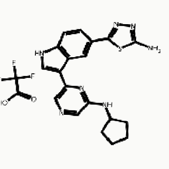 Nc1nnc(-c2ccc3[nH]cc(-c4cncc(NC5CCCC5)n4)c3c2)s1.O=C(O)C(F)(F)F